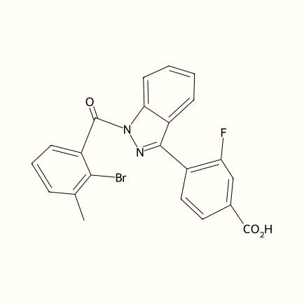 Cc1cccc(C(=O)n2nc(-c3ccc(C(=O)O)cc3F)c3ccccc32)c1Br